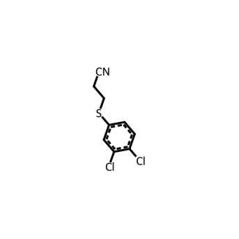 N#CCCSc1ccc(Cl)c(Cl)c1